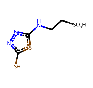 O=S(=O)(O)CCNc1nnc(S)s1